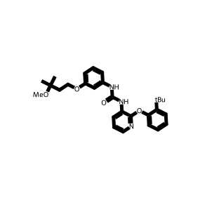 COC(C)(C)CCOc1cccc(NC(=O)Nc2cccnc2Oc2ccccc2C(C)(C)C)c1